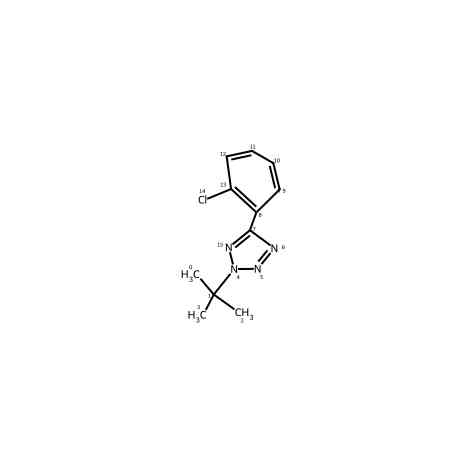 CC(C)(C)n1nnc(-c2[c]cccc2Cl)n1